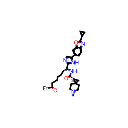 CCC(=O)CCCCC[C@H](NC(=O)[C@H]1CC12CCN(C)CC2)c1ncc(-c2ccc3nc(C4CC4)oc3c2)[nH]1